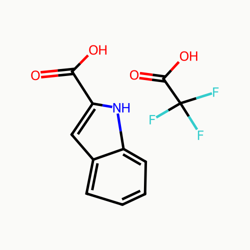 O=C(O)C(F)(F)F.O=C(O)c1cc2ccccc2[nH]1